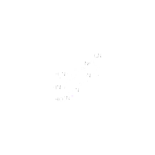 CC1=N/C(=N/O)C(=N)C(N)=C1Cc1nccc(C#N)n1